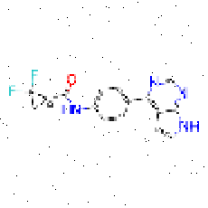 O=C(Nc1ccc(-c2ncnc3[nH]ccc23)cc1)[C@@H]1CC1(F)F